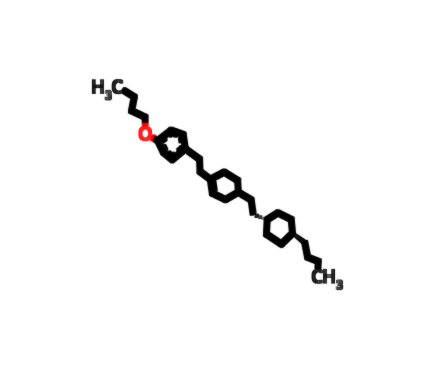 CCCCOc1ccc(CCC2=CCC(CC[C@H]3CC[C@H](CCCC)CC3)CC2)cc1